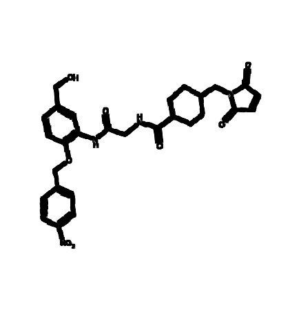 O=C(CNC(=O)C1CCC(CN2C(=O)C=CC2=O)CC1)Nc1cc(CO)ccc1OCc1ccc([N+](=O)[O-])cc1